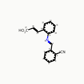 N#Cc1ccccc1/C=N/c1ccccc1/C=C/C(=O)O